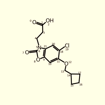 O=C(O)CCn1c(=O)oc2cc(OCC3CCC3)c(Cl)cc21